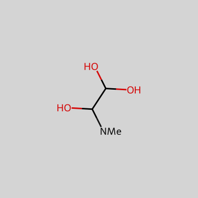 CNC(O)C(O)O